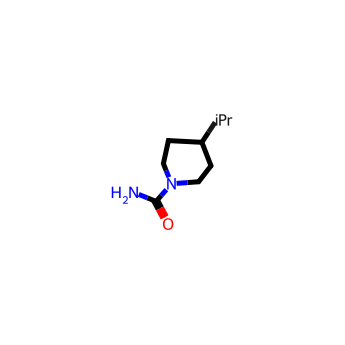 CC(C)C1CCN(C(N)=O)CC1